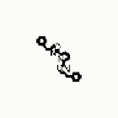 c1ccc(Cc2coc(-c3cccc(-c4nc(Cc5ccccc5)co4)n3)n2)cc1